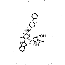 Cc1nc(NCC2CCN(c3ccccn3)CC2)nc(NC2C[C@H](CO)[C@@H](O)[C@H]2O)c1-c1nc2ccccc2s1